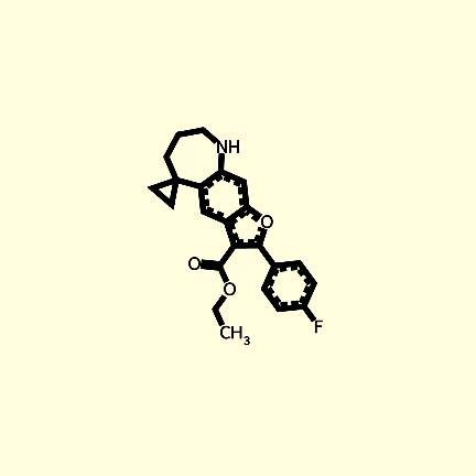 CCOC(=O)c1c(-c2ccc(F)cc2)oc2cc3c(cc12)C1(CCCN3)CC1